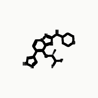 C[C@@H](Oc1c(-c2cn[nH]c2)ccn2nc(NC3CCOCC3)nc12)C(F)F